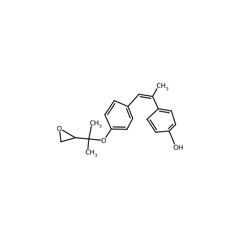 CC(=Cc1ccc(OC(C)(C)C2CO2)cc1)c1ccc(O)cc1